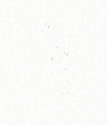 CC(=N)/C=C(\O)c1cnc(NCc2ccc(F)cc2)nc1C(C)(C)C